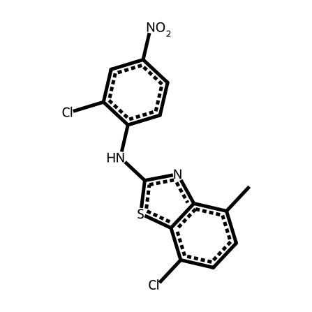 Cc1ccc(Cl)c2sc(Nc3ccc([N+](=O)[O-])cc3Cl)nc12